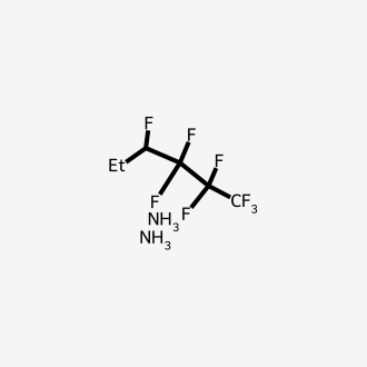 CCC(F)C(F)(F)C(F)(F)C(F)(F)F.N.N